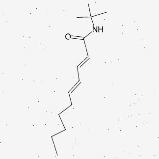 CCCCC/C=C/C=C/C(=O)NC(C)(C)C